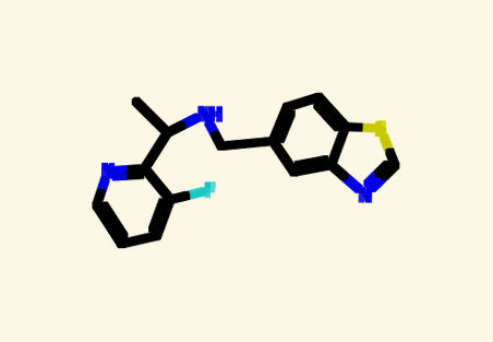 CC(NCc1ccc2scnc2c1)c1ncccc1F